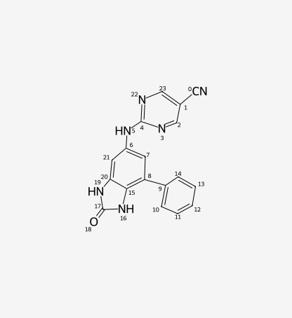 N#Cc1cnc(Nc2cc(-c3ccccc3)c3[nH]c(=O)[nH]c3c2)nc1